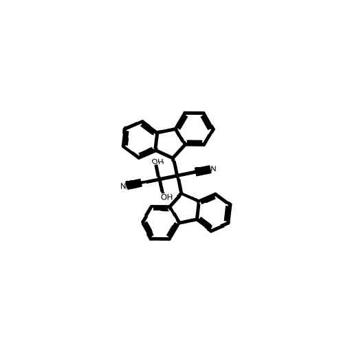 N#CC(O)(O)C(C#N)(C1c2ccccc2-c2ccccc21)C1c2ccccc2-c2ccccc21